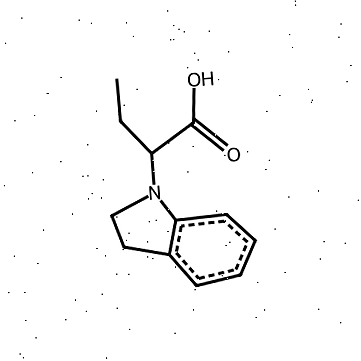 CCC(C(=O)O)N1CCc2ccccc21